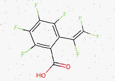 O=C(O)c1c(F)c(F)c(F)c(F)c1C(F)=C(F)F